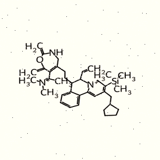 C=CC1C(CCC2=C(C(C)=[N+](C)C)C(=C)OC(=C)NC2)c2ccccc2-c2cc(CC3CCCC3)c([Si](C)(C)C)c[n+]21